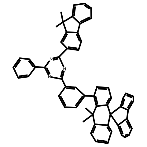 CC1(C)c2ccccc2-c2ccc(-c3nc(-c4ccccc4)nc(-c4cccc(-c5cccc6c5C(C)(C)c5ccccc5C65c6ccccc6-c6ccccc65)c4)n3)cc21